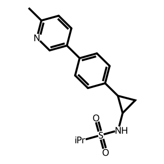 Cc1ccc(-c2ccc(C3CC3NS(=O)(=O)C(C)C)cc2)cn1